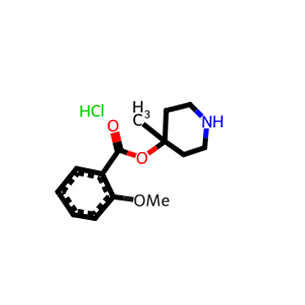 COc1ccccc1C(=O)OC1(C)CCNCC1.Cl